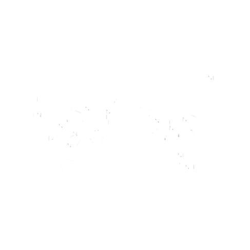 Cc1ccc(F)c(-c2cn(Cc3ccccc3)c([C@H](N(CC[C@H](N)CF)C(=O)COC(=O)N(C)CCNC(=O)OCc3ccc(NC(=O)[C@H](CCCNC(N)=O)NC(=O)[C@@H](NC(=O)CCCCCN)C(C)C)cc3)C(C)(C)C)n2)c1